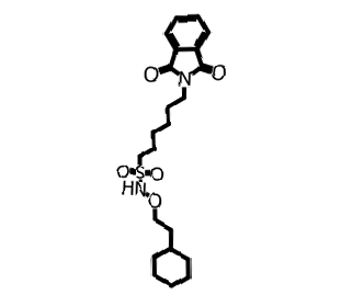 O=C1c2ccccc2C(=O)N1CCCCCCS(=O)(=O)NOCCC1CCCCC1